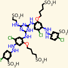 O=S(=O)(O)CCCCOc1cc(NNc2ccc(Cl)c(S(=O)(=O)O)c2)c(Cl)cc1NC1=NC(NCCS(=O)(=O)O)=NC(Nc2cc(Cl)c(NNc3ccc(Cl)c(S(=O)(=O)O)c3)cc2OCCCCS(=O)(=O)O)N1